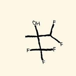 CC(O)(C(F)F)C(F)(F)F